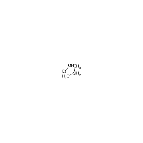 CCO.C[SiH2]C